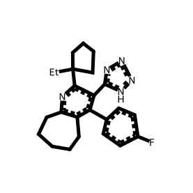 CCC1(c2nc3c(c(-c4ccc(F)cc4)c2-c2nnn[nH]2)CCCCC3)CCCC1